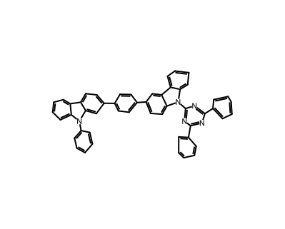 c1ccc(-c2nc(-c3ccccc3)nc(-n3c4ccccc4c4cc(-c5ccc(-c6ccc7c8ccccc8n(-c8ccccc8)c7c6)cc5)ccc43)n2)cc1